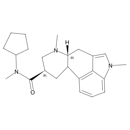 CN(C(=O)[C@@H]1CC2c3cccc4c3c(cn4C)C[C@H]2N(C)C1)C1CCCC1